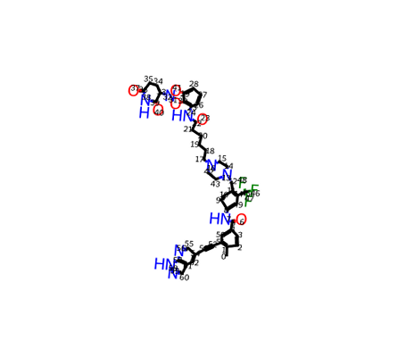 Cc1ccc(C(=O)Nc2ccc(CN3CCN(CCCCCC(=O)Nc4cccc5c4ON(C4CCC(=O)NC4=O)O5)CC3)c(C(F)(F)F)c2)cc1C#Cc1cnc2[nH]ncc2c1